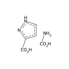 NC(=O)O.O=C(O)c1cc[nH]n1